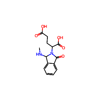 CNC1c2ccccc2C(=O)N1C(CCC(=O)O)C(=O)O